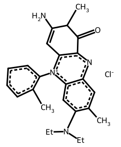 CCN(CC)c1cc2c(cc1C)nc1c([n+]2-c2ccccc2C)C=C(N)C(C)C1=O.[Cl-]